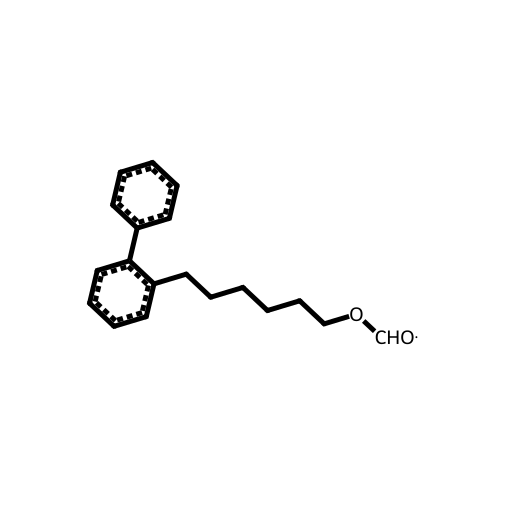 O=[C]OCCCCCCc1ccccc1-c1ccccc1